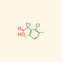 Cc1ccc(F)c(C2(C(=O)O)CC2)c1Cl